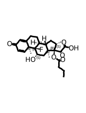 CCCC(=O)O[C@]1(C(=O)C(=O)O)[C@@H](C)C[C@H]2[C@@H]3CCC4=CC(=O)C=C[C@]4(C)[C@@]3(F)[C@@H](O)C[C@@]21C